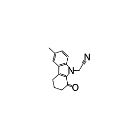 Cc1ccc2c(c1)c1c(n2CC#N)C(=O)CCC1